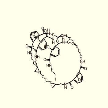 O=C1NCC[N@@]2CCNC(=O)c3cccc(c3O)C(=O)NC[C@@]3(CCNC(=O)c4cccc1c4O)C[N@]3CC[N@]1C[C@]13CCNC(=O)c1cccc(c1O)C(=O)NCC[N@](CCNC(=O)c1cccc(c1O)C(=O)NC3)CC2